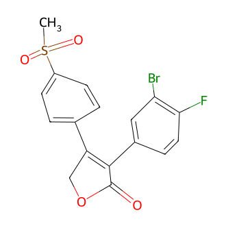 CS(=O)(=O)c1ccc(C2=C(c3ccc(F)c(Br)c3)C(=O)OC2)cc1